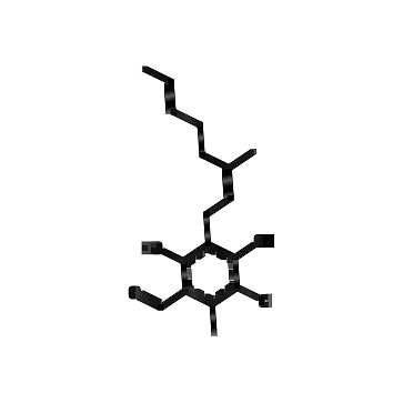 CC=CCCC(C)=CCc1c(O)c(Cl)c(C)c(C=O)c1O